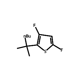 CCCCC(C)(C)c1sc(F)cc1F